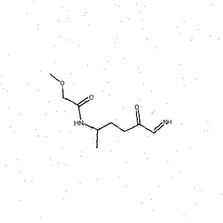 COCC(=O)NC(C)CCC(=O)C=N